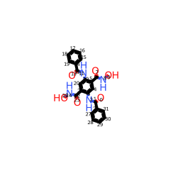 O=C(Nc1cc(C(=O)NO)c(NC(=O)c2ccccc2)cc1C(=O)NO)c1ccccc1